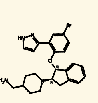 NCC1CCN([C@@H]2Cc3ccccc3[C@H]2Oc2ccc(Br)cc2-c2cc[nH]n2)CC1